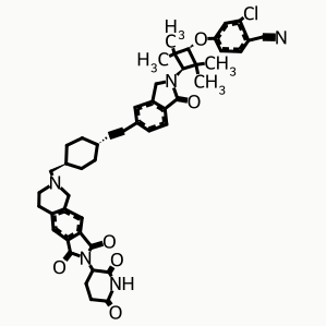 CC1(C)[C@H](Oc2ccc(C#N)c(Cl)c2)C(C)(C)[C@H]1N1Cc2cc(C#C[C@H]3CC[C@H](CN4CCc5cc6c(cc5C4)C(=O)N(C4CCC(=O)NC4=O)C6=O)CC3)ccc2C1=O